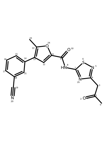 CC(=O)Cc1nsc(NC(=O)c2cc(-c3cccc(C#N)c3)c(C)o2)n1